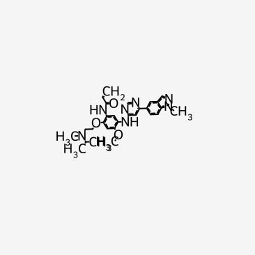 C=CC(=O)Nc1cc(Nc2cc(-c3ccc4c(cnn4C)c3)ncn2)c(OC)cc1OCCN(C)C(C)C